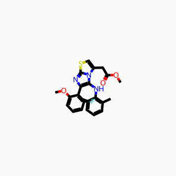 COC(=O)Cc1csc2nc(-c3c(F)cccc3OC)c(Nc3c(C)cccc3C)n12